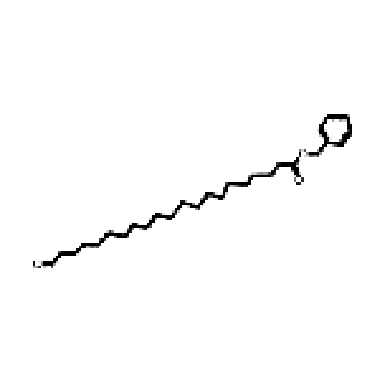 O=[C]CCCCCCCCCCCCCCCCCCCC(=O)OCc1ccccc1